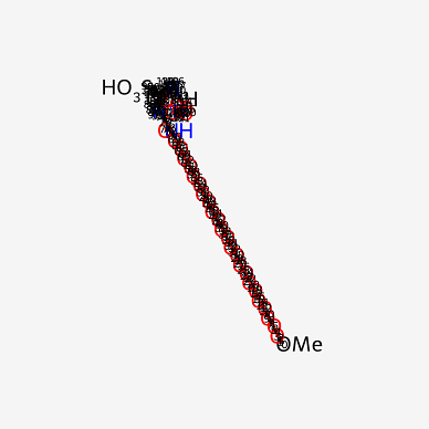 COCCOCCOCCOCCOCCOCCOCCOCCOCCOCCOCCOCCOCCOCCOCCOCCOCCOCCOCCOCCOCCOCCOCCOCCNC(=O)CCCCC[N+]1=c2cc3c(cc2C(C)CC1(C)C)=C(c1ccc(S(=O)(=O)O)cc1C(=O)O)c1cc2c(cc1O3)N(CCCCCC(=O)ON1C(=O)CCC1=O)C(C)(C)CC2C